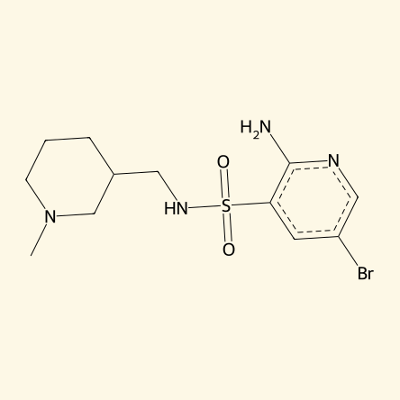 CN1CCCC(CNS(=O)(=O)c2cc(Br)cnc2N)C1